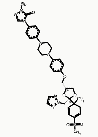 CCC(C)n1ncn(-c2ccc(N3CCN(c4ccc(OC[C@@H]5CO[C@@](Cn6nccn6)(C6(C)C=CC(S(C)(=O)=O)=CC6)O5)cc4)CC3)cc2)c1=O